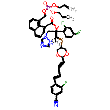 C=CCOP(=O)(OCC=C)OCc1cccc2cccc(C(=O)OC(Cn3cncn3)(c3ccc(F)cc3F)C(C)SC3COC(C=CC=Cc4ccc(C#N)cc4F)OC3)c12